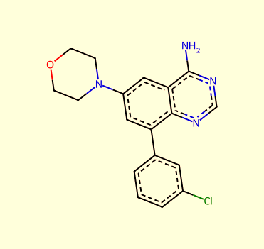 Nc1ncnc2c(-c3cccc(Cl)c3)cc(N3CCOCC3)cc12